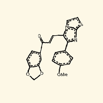 COc1ccc(-c2nc3sccn3c2/C=C/C(=O)c2ccc3c(c2)OCO3)cc1